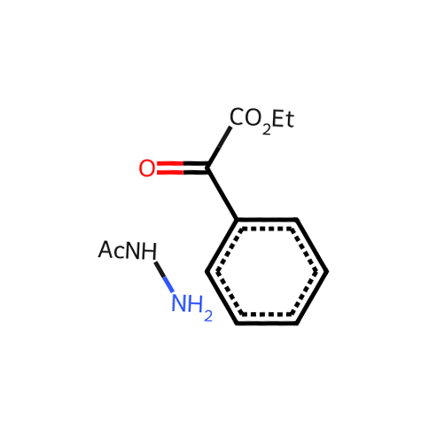 CC(=O)NN.CCOC(=O)C(=O)c1ccccc1